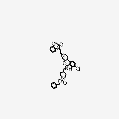 O=C(NCC1CCN(C(=O)OCc2ccccc2)CC1)c1cc(Cl)ccc1C1CCN(CCN2C(=O)COc3ccccc32)CC1